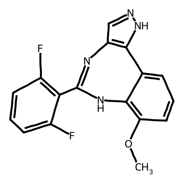 COc1cccc2c1NC(c1c(F)cccc1F)=Nc1cn[nH]c1-2